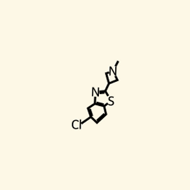 CN1CC(c2nc3cc(Cl)ccc3s2)C1